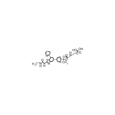 CCNC(=O)Nc1nc2cc(-c3cnc(C(C)(C)OC(=O)CNCCOP(=O)(O)O)nc3)cc(-c3ccccn3)c2s1